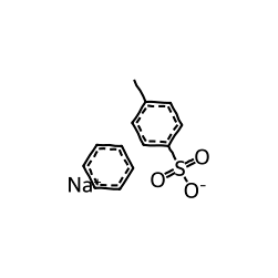 Cc1ccc(S(=O)(=O)[O-])cc1.[Na+].c1ccccc1